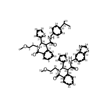 COCCN1C(=O)c2ccccc2C(C(=O)Nc2ccc(C(C)C)cc2)C1c1cccs1.COCCN1C(=O)c2ccccc2C(C(=O)Nc2ccc3scnc3c2)C1c1cccs1